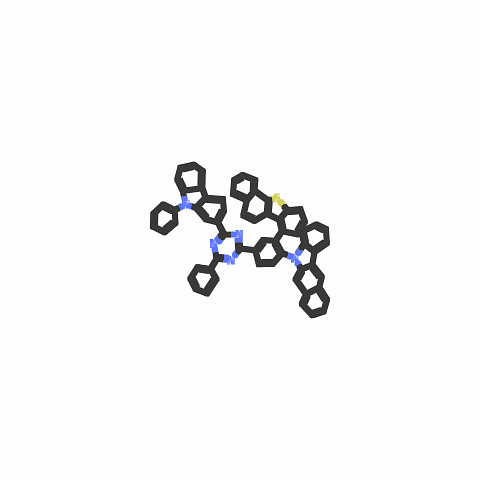 c1ccc(-c2nc(-c3ccc(-n4c5ccccc5c5cc6ccccc6cc54)c(-c4cccc5sc6c7ccccc7ccc6c45)c3)nc(-c3ccc4c5ccccc5n(-c5ccccc5)c4c3)n2)cc1